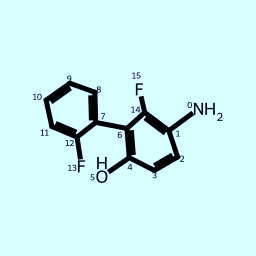 Nc1ccc(O)c(-c2ccccc2F)c1F